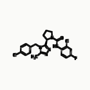 Cc1nnc([C@H]2CCCN2C(=O)Nc2ccc(F)cc2Cl)n1Cc1ccc(Cl)cc1